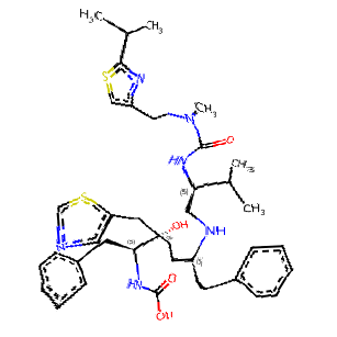 CC(C)c1nc(CN(C)C(=O)N[C@H](CN[C@@H](Cc2ccccc2)C[C@](O)(Cc2cncs2)[C@H](Cc2ccccc2)NC(=O)O)C(C)C)cs1